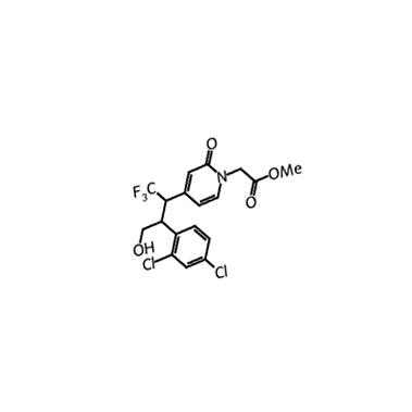 COC(=O)Cn1ccc(C(C(CO)c2ccc(Cl)cc2Cl)C(F)(F)F)cc1=O